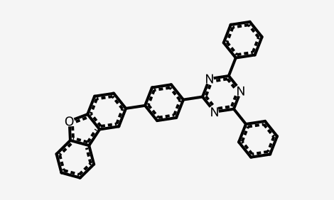 c1ccc(-c2nc(-c3ccccc3)nc(-c3ccc(-c4ccc5oc6ccccc6c5c4)cc3)n2)cc1